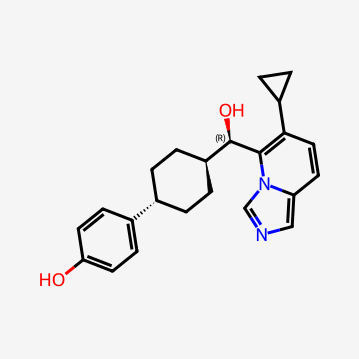 Oc1ccc([C@H]2CC[C@H]([C@@H](O)c3c(C4CC4)ccc4cncn34)CC2)cc1